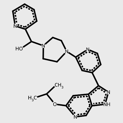 CC(C)Oc1cc2c(-c3ccnc(N4CCN(C(O)c5ccccn5)CC4)c3)n[nH]c2cn1